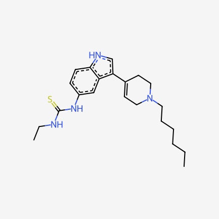 CCCCCCN1CC=C(c2c[nH]c3ccc(NC(=S)NCC)cc23)CC1